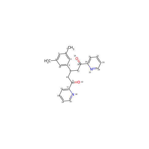 Cc1cc(C)cc(C(CC(=O)c2ccccn2)CC(=O)c2ccccn2)c1